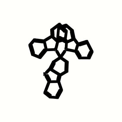 C1=CC(n2c3ccccc3c3ccccc32)(n2c3ccccc3c3ccccc32)C=C2N=c3ccccc3=C12